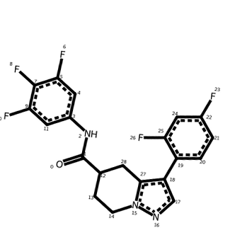 O=C(Nc1cc(F)c(F)c(F)c1)C1CCn2ncc(-c3ccc(F)cc3F)c2C1